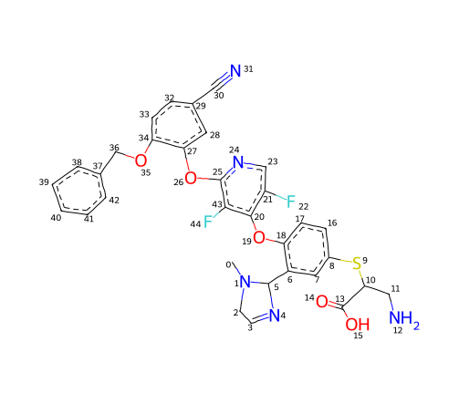 CN1CC=NC1c1cc(SC(CN)C(=O)O)ccc1Oc1c(F)cnc(Oc2cc(C#N)ccc2OCc2ccccc2)c1F